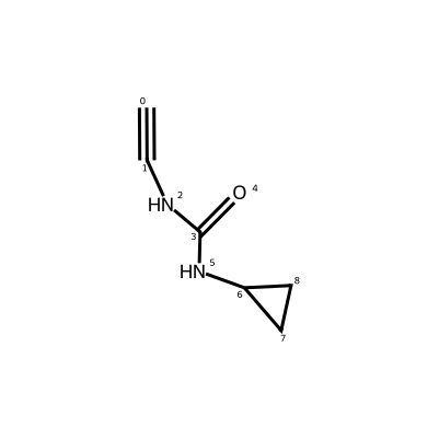 C#CNC(=O)NC1CC1